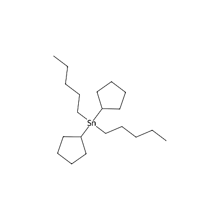 CCCC[CH2][Sn]([CH2]CCCC)([CH]1CCCC1)[CH]1CCCC1